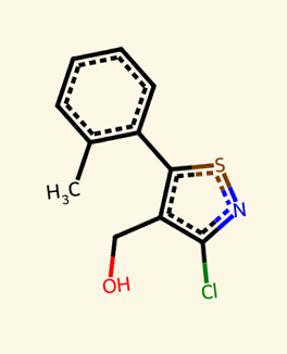 Cc1ccccc1-c1snc(Cl)c1CO